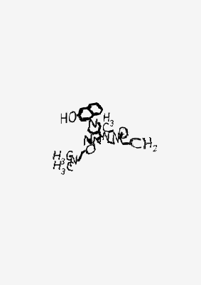 C=CC(=O)N1CCN(c2nc(OCCN(C)C)nc3c2CCN(c2cc(O)cc4ccccc24)C3)[C@@H](C)C1